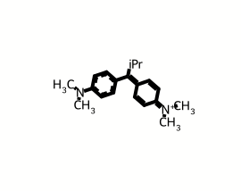 CC(C)C(=C1C=CC(=[N+](C)C)C=C1)c1ccc(N(C)C)cc1